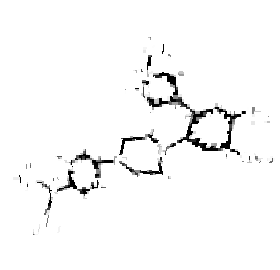 COc1cc(N2CCN(c3cnc(N(C)C)cn3)CC2)c(-c2cnn(C)c2)cc1N